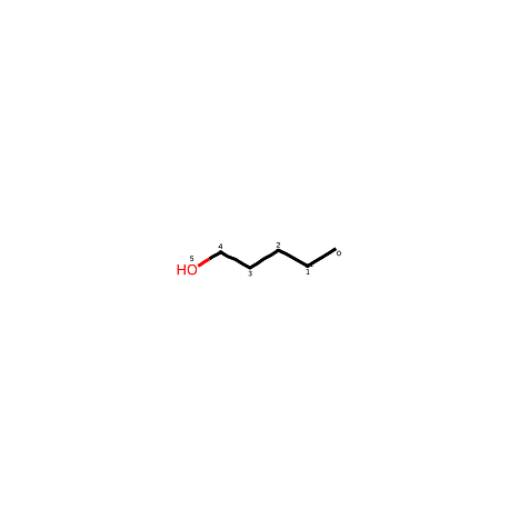 C[CH]CCCO